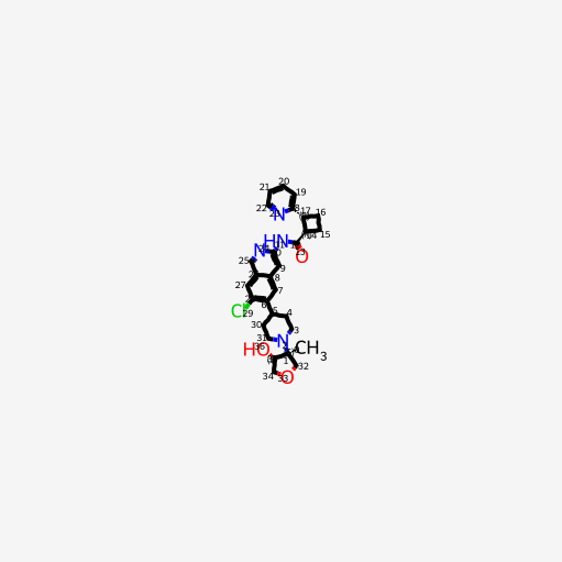 C[C@]1(N2CCC(c3cc4cc(NC(=O)[C@@H]5CC[C@H]5c5ccccn5)ncc4cc3Cl)CC2)COC[C@H]1O